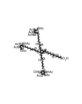 CC(=O)N[C@H]1[C@H](OCCCCCCNC(=O)CCO[C@@H]2[C@H](OCCC(=O)NCCCCCCO[C@@H]3O[C@H](COC(C)=O)[C@H](OC(C)=O)[C@H](OC(C)=O)[C@H]3NC(C)=O)C=C(C(=O)NCCCCCC(=O)NCCCCC(=O)O)C[C@H]2OCCC(=O)NCCCCCCO[C@@H]2O[C@H](COC(C)=O)[C@H](OC(C)=O)[C@H](OC(C)=O)[C@H]2NC(C)=O)O[C@H](COC(C)=O)[C@H](OC(C)=O)[C@@H]1OC(C)=O